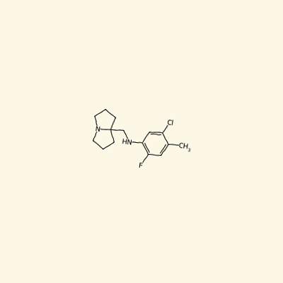 Cc1cc(F)c(NCC23CCCN2CCC3)cc1Cl